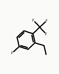 CCc1cc(F)ccc1C(F)(F)F